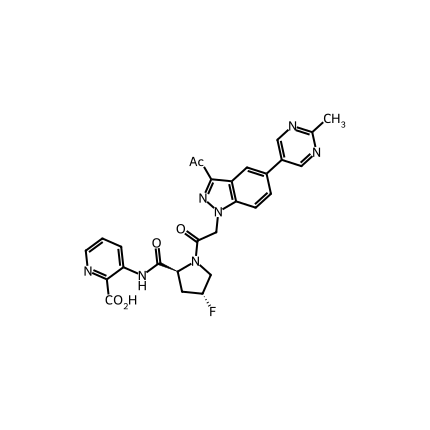 CC(=O)c1nn(CC(=O)N2C[C@H](F)C[C@H]2C(=O)Nc2cccnc2C(=O)O)c2ccc(-c3cnc(C)nc3)cc12